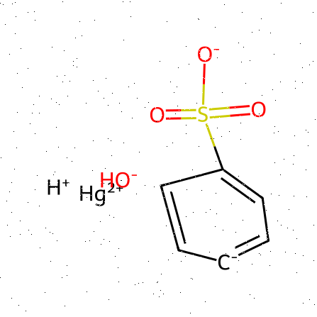 O=S(=O)([O-])c1cc[c-]cc1.[H+].[Hg+2].[OH-]